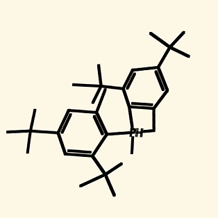 Cc1cc(C(C)(C)C)cc(C(C)(C)C)c1[PH]1(C)Cc2cc(C(C)(C)C)cc(C(C)(C)C)c21